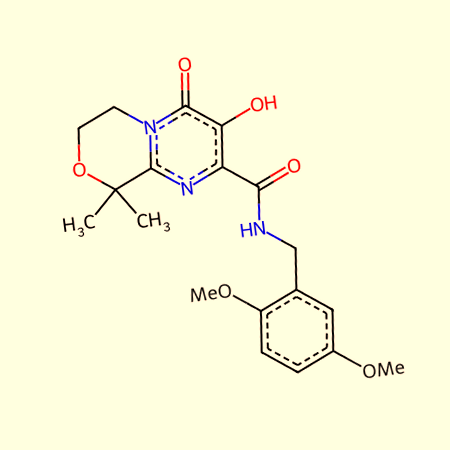 COc1ccc(OC)c(CNC(=O)c2nc3n(c(=O)c2O)CCOC3(C)C)c1